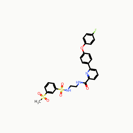 CS(=O)(=O)c1cccc(S(=O)(=O)NCCNC(=O)c2cccc(-c3ccc(Oc4ccc(F)cc4)cc3)n2)c1